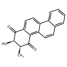 C[C@@H]1C(=O)c2c(ccc3c2ccc2ccccc23)C(=O)[C@@H]1O